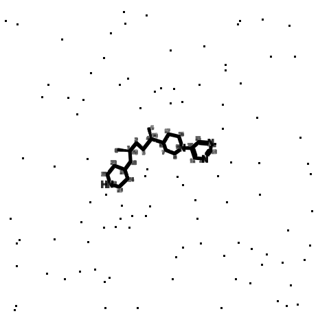 C[C@@H](CC[C@@H](C)C1CCN(c2cncnc2)CC1)CC1CCNCC1